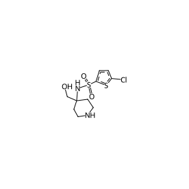 O=S(=O)(NC1(CO)CCNCC1)c1ccc(Cl)s1